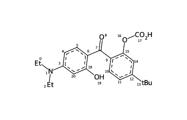 CCN(CC)c1ccc(C(=O)c2ccc(C(C)(C)C)cc2OC(=O)O)c(O)c1